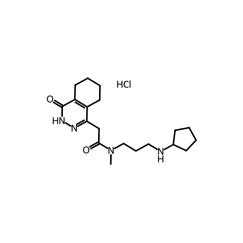 CN(CCCNC1CCCC1)C(=O)Cc1n[nH]c(=O)c2c1CCCC2.Cl